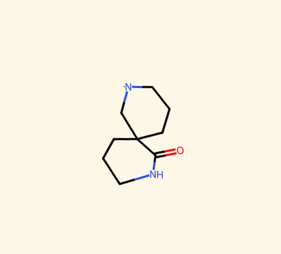 O=C1NCCCC12CCC[N]C2